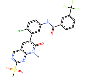 Cn1c(=O)c(-c2cc(NC(=O)c3cccc(C(F)(F)F)c3)ccc2Cl)cc2cnc(S(C)(=O)=O)nc21